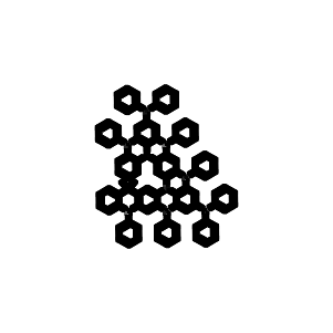 CC1(C)c2ccccc2N(c2ccccc2)c2cc3c(cc21)B1c2cc4c(cc2N(c2ccccc2)c2cc(N(c5ccccc5)c5ccccc5)cc(c21)N3c1ccccc1)N(c1ccccc1)c1cc(N(c2ccccc2)c2ccccc2)cc2c1B4c1ccccc1N2c1ccccc1